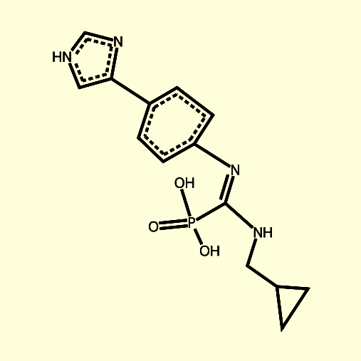 O=P(O)(O)C(=Nc1ccc(-c2c[nH]cn2)cc1)NCC1CC1